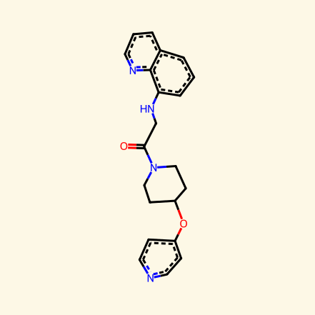 O=C(CNc1cccc2cccnc12)N1CCC(Oc2ccncc2)CC1